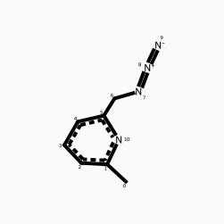 Cc1cccc(CN=[N+]=[N-])n1